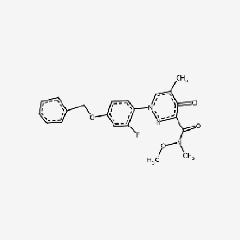 CON(C)C(=O)c1nn(-c2ccc(OCc3ccccc3)cc2F)cc(C)c1=O